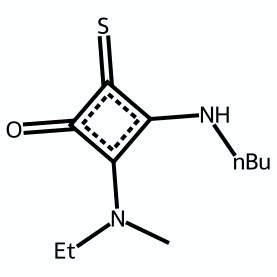 CCCCNc1c(N(C)CC)c(=O)c1=S